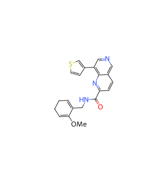 COC1=CCCC=C1CNC(=O)c1ccc2cncc(-c3ccsc3)c2n1